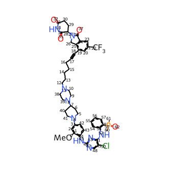 COc1cc(N2CCC(N3CCN(CCCCCC#Cc4cc(C(F)(F)F)cc5c4CN(C4CCC(=O)NC4=O)C5=O)CC3)CC2)ccc1Nc1ncc(Cl)c(Nc2ccccc2P(C)(C)=O)n1